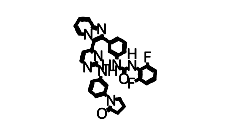 O=C(Nc1cccc(-c2nc3ccccn3c2-c2ccnc(Nc3cccc(N4CCCC4=O)c3)n2)c1)Nc1c(F)cccc1F